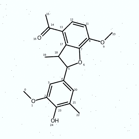 COc1cc(C2Oc3c(OC)ccc(C(C)=O)c3C2C)cc(C)c1O